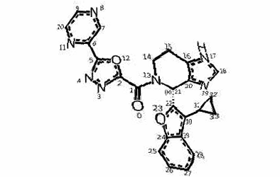 O=C(c1nnc(-c2cnccn2)o1)N1CCc2[nH]cnc2[C@@H]1c1oc2ccccc2c1C1CC1